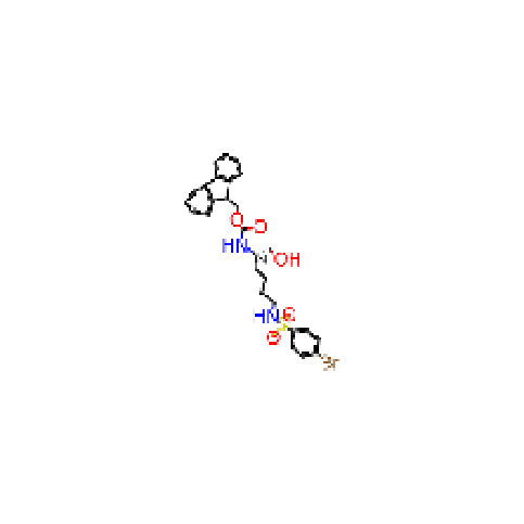 O=C(N[C@H](CO)CCCCNS(=O)(=O)c1ccc(Br)cc1)OCC1c2ccccc2-c2ccccc21